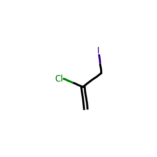 C=C(Cl)CI